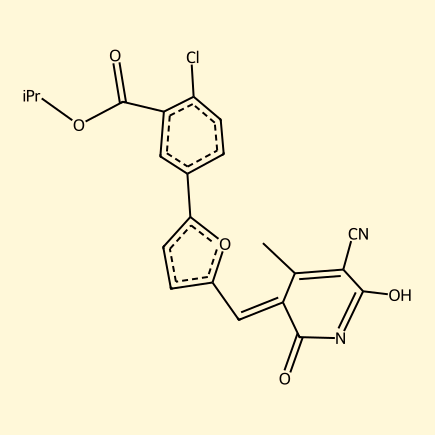 CC1=C(C#N)C(O)=NC(=O)/C1=C/c1ccc(-c2ccc(Cl)c(C(=O)OC(C)C)c2)o1